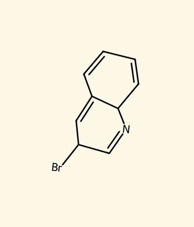 BrC1C=NC2C=CC=CC2=C1